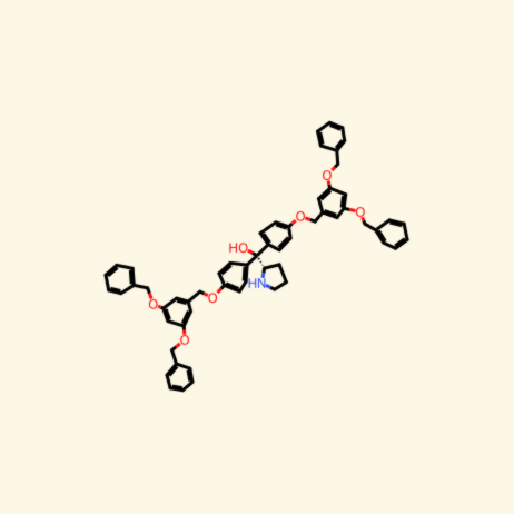 OC(c1ccc(OCc2cc(OCc3ccccc3)cc(OCc3ccccc3)c2)cc1)(c1ccc(OCc2cc(OCc3ccccc3)cc(OCc3ccccc3)c2)cc1)[C@@H]1CCCN1